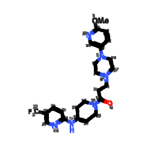 COc1ccc(N2CCN(CCC(=O)N3CCC(Nc4ccc(C(F)(F)F)cn4)CC3)CC2)cn1